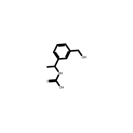 CC(NC(=O)O)c1cccc(CO)c1